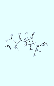 Cc1cccc(C)c1C(=O)N[C@@]1(C)C(=O)N2[C@@H](C(=O)O)C(C)(C)S[C@@H]21